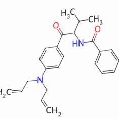 C=CCN(CC=C)c1ccc(C(=O)C(NC(=O)c2ccccc2)C(C)C)cc1